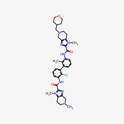 Cc1c(NC(=O)c2nc3c(n2C)CCN(CC2CCOCC2)C3)cccc1-c1cccc(NC(=O)c2nc3c(n2C)CCN(C)C3)c1Cl